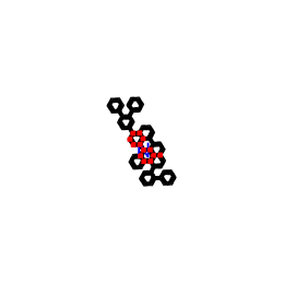 c1ccc(-c2ccc(-c3ccc(N(c4ccccc4-c4ccccc4-c4ccccc4-c4ccccc4)c4ccccc4-c4cccc5cccc(-c6ccccc6)c45)cc3)cc2-c2ccccc2)cc1